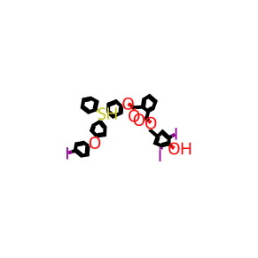 O=C(OCc1cc(I)c(O)c(I)c1)c1ccccc1C(=O)Oc1ccc([SH](c2ccccc2)c2ccc(Oc3ccc(I)cc3)cc2)cc1